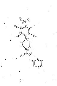 O=C(OCc1ccccc1)N1CCN(c2c(F)cc([N+](=O)[O-])c(F)c2F)CC1